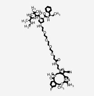 CC[C@@H](NC(=O)[C@@H]1C[C@H](NCCOCCOCCOCCOCCC(=O)NCCn2nc(C#N)c3c2CN(C)C(=O)c2ccc(F)cc2[C@@H](C)Oc2nc-3cnc2N)CN1C(=O)C(NC(=O)[C@H](C)NC)C(C)(C)C)c1ccccc1